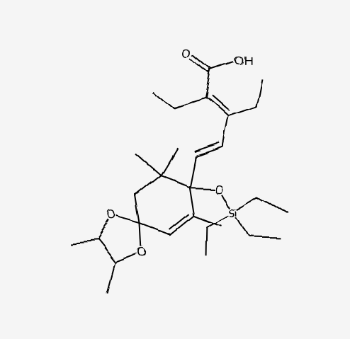 CCC(C=CC1(O[Si](CC)(CC)CC)C(C)=CC2(CC1(C)C)OC(C)C(C)O2)=C(CC)C(=O)O